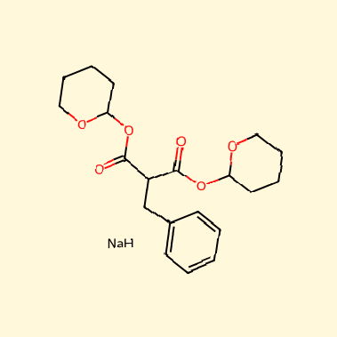 O=C(OC1CCCCO1)C(Cc1ccccc1)C(=O)OC1CCCCO1.[NaH]